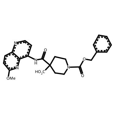 COc1ccc2nccc(NC(=O)C3(C(=O)O)CCN(C(=O)OCc4ccccc4)CC3)c2n1